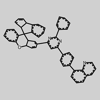 C1=CC2c3ccccc3C3(c4ccccc4OC4C=CC(c5cc(-c6ccc(-c7cccc8cccnc78)cc6)nc(-c6ccccc6)n5)=CC43)C2C=C1